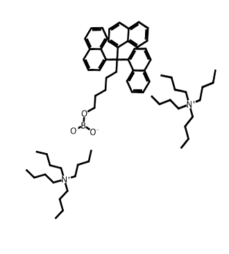 CCCC[N+](CCCC)(CCCC)CCCC.CCCC[N+](CCCC)(CCCC)CCCC.[O-]B([O-])OCCCCCC(c1cccc2ccccc12)(c1cccc2ccccc12)c1cccc2ccccc12